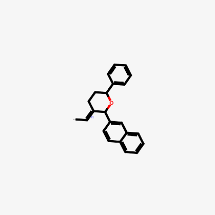 [CH2]/C=C1\CCC(c2ccccc2)OC1c1ccc2ccccc2c1